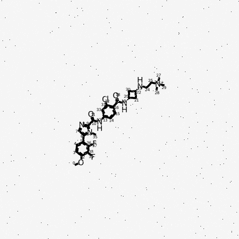 COc1ccc(-c2cnc(C(=O)Nc3ccc(C(=O)N[C@H]4C[C@@H](NCC[N+](C)(C)C)C4)c(Cl)c3)n2C)c(F)c1F